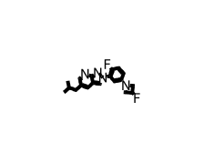 CC(C)Cc1cnc2nn(-c3cc(N4CC(F)C4)ccc3F)cc2c1